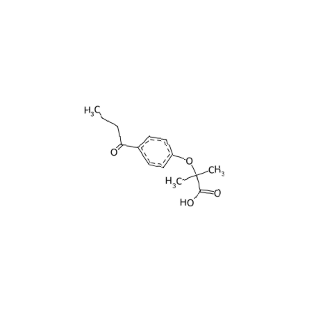 CCCC(=O)c1ccc(OC(C)(C)C(=O)O)cc1